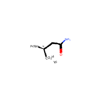 CC(=O)N[C@@H](CC(N)=O)C(=O)O.[In]